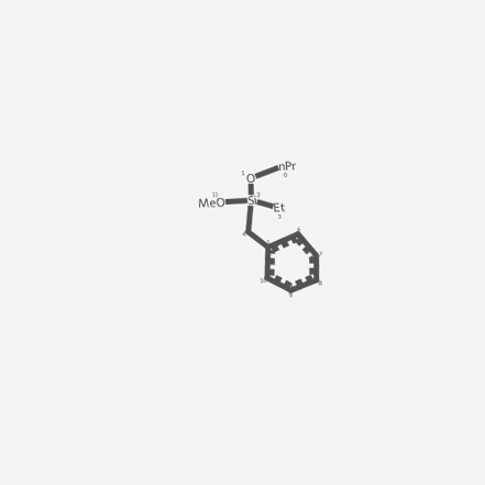 CCCO[Si](CC)(Cc1ccccc1)OC